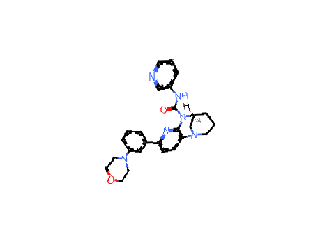 O=C(Nc1cccnc1)N1c2nc(-c3cccc(N4CCOCC4)c3)ccc2N2CCC[C@H]1C2